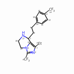 CCc1nc(C(F)(F)F)n2c1C(CCc1ccc(C(F)(F)F)cc1)NCC2